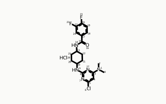 CN(C)c1cc(Cl)nc(NC2CCC(NC(=O)c3ccc(F)c(F)c3)CC2)n1.Cl